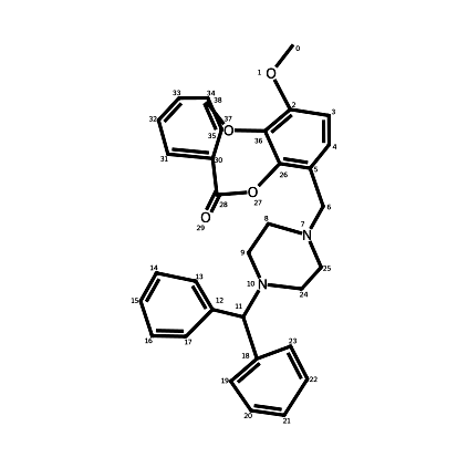 COc1ccc(CN2CCN(C(c3ccccc3)c3ccccc3)CC2)c(OC(=O)c2ccccc2)c1OC